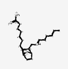 CCCCCCNCC1C2CCC(O2)C1CCCCCCC(=O)O